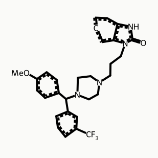 COc1ccc(C(c2cccc(C(F)(F)F)c2)N2CCN(CCCn3c(=O)[nH]c4ccccc43)CC2)cc1